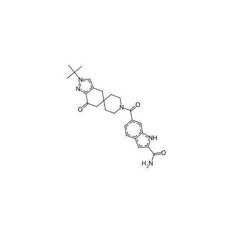 CC(C)(C)n1cc2c(n1)C(=O)CC1(CCN(C(=O)c3ccc4cc(C(N)=O)[nH]c4c3)CC1)C2